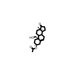 CC(=O)O[C@H]1CC[C@@]2(CO)C(=CCC3C2CC[C@]2(C)C(=O)CCC32)C1